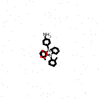 Cc1ccccc1N(c1ccccc1C)c1ccccc1N(c1ccccc1)c1ccc(N)cc1